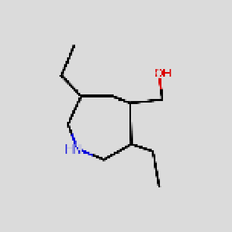 CCC1CNCC(CC)C(CO)C1